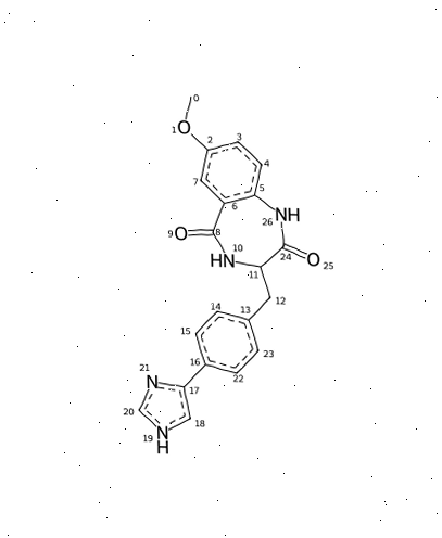 COc1ccc2c(c1)C(=O)NC(Cc1ccc(-c3c[nH]cn3)cc1)C(=O)N2